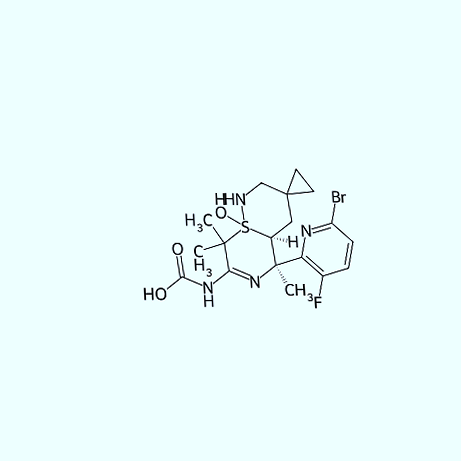 CC1(C)C(NC(=O)O)=N[C@](C)(c2nc(Br)ccc2F)[C@@H]2CC3(CC3)CNS21O